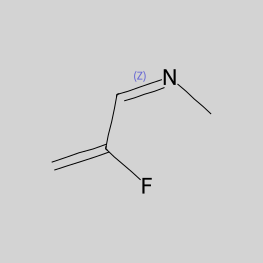 C=C(F)/C=N\C